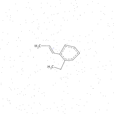 [CH2]/C=C/c1ccccc1CC